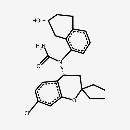 CCC1(CC)C[C@@H](N(C(N)=O)c2cccc3c2C[C@H](O)CC3)c2ccc(Cl)cc2O1